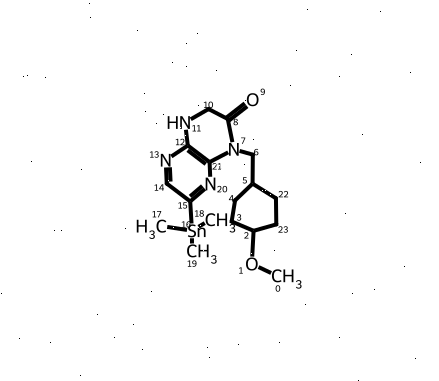 COC1CCC(CN2C(=O)CNc3nc[c]([Sn]([CH3])([CH3])[CH3])nc32)CC1